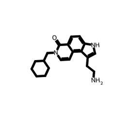 NCCc1c[nH]c2ccc3c(=O)n(CC4CCCCC4)ccc3c12